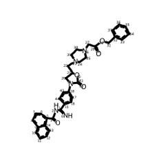 N=C(NC(=O)c1cccc2ccccc12)c1ccc(N2CC(CN3CCN(CC(=O)OCc4ccccc4)CC3)OC2=O)cc1